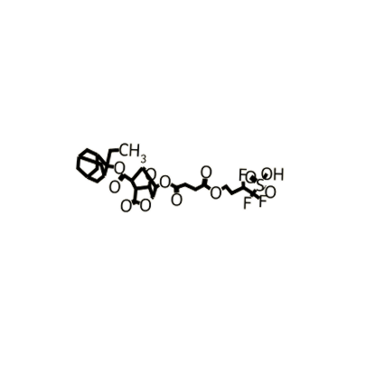 CCC1(OC(=O)C2C3OC4C(OC(=O)C42)C3OC(=O)CCC(=O)OCCC(F)C(F)(F)S(=O)(=O)O)C2CC3CC(C2)CC1C3